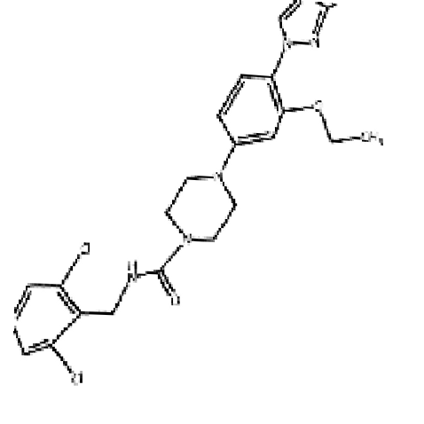 CCOc1cc(N2CCN(C(=O)NCc3c(Cl)cccc3Cl)CC2)ccc1-n1cnc(C)n1